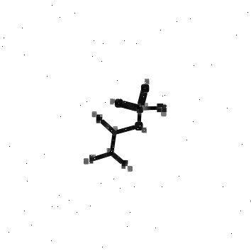 CCS(=O)(=O)OC(F)C(F)F